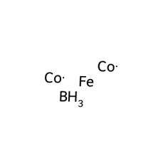 B.[Co].[Co].[Fe]